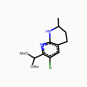 COC(OC)c1nc2c(cc1Br)CCC(C)N2